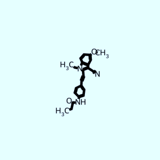 CCC(=O)Nc1ccc(C#Cc2c(C#N)c3cc(OC)ccc3n2CC)cc1